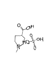 CN1CCC(C(=O)O)CC1.O=S(=O)(O)O